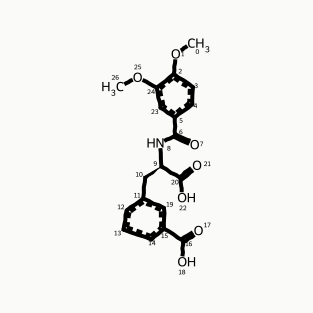 COc1ccc(C(=O)N[C@H](Cc2cccc(C(=O)O)c2)C(=O)O)cc1OC